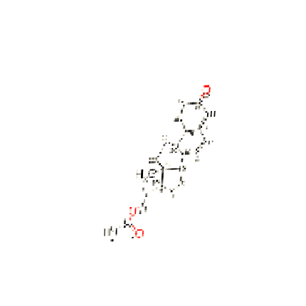 CC(=O)OCC[C@H]1CCC2C3C=CC4=CC(=O)CCC4C3CCC21C